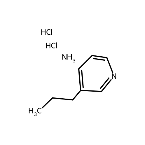 CCCc1cccnc1.Cl.Cl.N